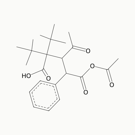 CC(=O)OC(=O)C(c1ccccc1)C(C(C)=O)C(C(=O)O)(C(C)(C)C)C(C)(C)C